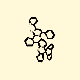 C1=CCCC(C2C=C(c3ccccn3)NC(C3C=CC=CC3c3cccc4c3Oc3ccccc3C43C4=C(C=CCC4)c4ccccc43)N2)=C1